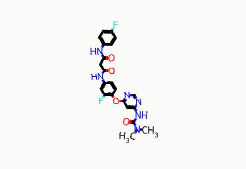 CN(C)C(=O)Nc1cc(Oc2ccc(NC(=O)CC(=O)Nc3ccc(F)cc3)cc2F)ncn1